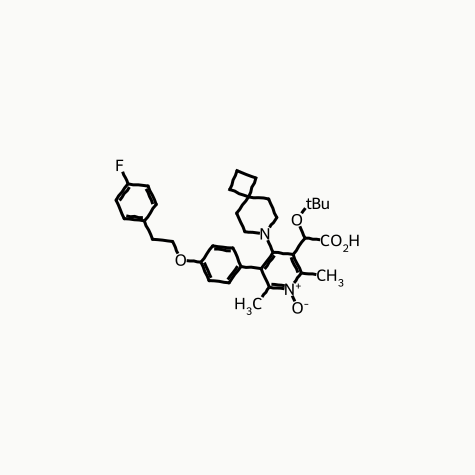 Cc1c(-c2ccc(OCCc3ccc(F)cc3)cc2)c(N2CCC3(CCC3)CC2)c(C(OC(C)(C)C)C(=O)O)c(C)[n+]1[O-]